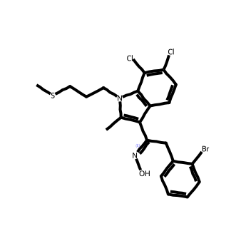 CSCCCn1c(C)c(/C(Cc2ccccc2Br)=N/O)c2ccc(Cl)c(Cl)c21